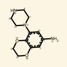 Nc1cc2c(c(N3CCNCC3)c1)OCCO2